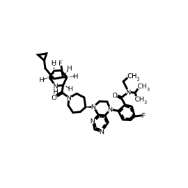 CCN(C(=O)c1cc(F)ccc1N1CCN([C@H]2CCCN(C(=O)[C@H]3N[C@H]4CC[C@@H]3[C@H](F)[C@@H]4CC3CC3)CC2)c2ncncc21)C(C)C